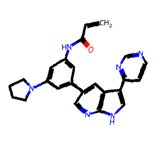 C=CC(=O)Nc1cc(-c2cnc3[nH]cc(-c4ccncn4)c3c2)cc(N2CCCC2)c1